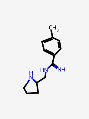 Cc1ccc(C(=N)NCC2CCCN2)cc1